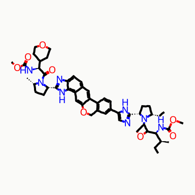 CC[C@H]1CC[C@@H](c2ncc(-c3ccc4c(c3)COc3cc5c(ccc6nc([C@@H]7CC[C@H](C)N7C(=O)[C@@H](NC(=O)OC)C7CCOCC7)[nH]c65)cc3-4)[nH]2)N1C1COC1[C@@H](NC(=O)OC)[C@@H](C)CC